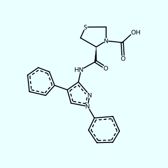 O=C(Nc1nn(-c2ccccc2)cc1-c1ccccc1)[C@H]1CSCN1C(=O)O